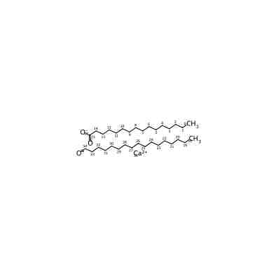 CCCCCCCCCCCCCCCC(=O)[O-].CCCCCCCCCCCCCCCCC[O-].[Ca+2]